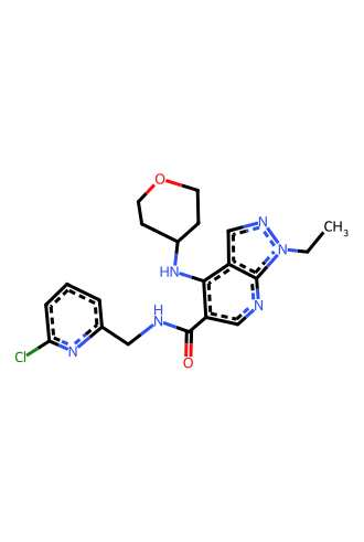 CCn1ncc2c(NC3CCOCC3)c(C(=O)NCc3cccc(Cl)n3)cnc21